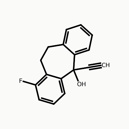 C#CC1(O)c2ccccc2CCc2c(F)cccc21